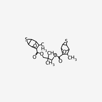 CC1C2OC(C3SC23)C1C(=O)OCC(C)(C)COC(=O)C1C(C)C2OC1C1SC21